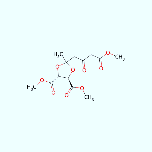 COC(=O)CC(=O)CC1(C)O[C@@H](C(=O)OC)[C@H](C(=O)OC)O1